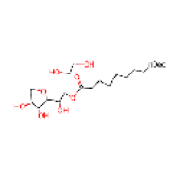 CCCCCCCCCCCCCCCCCC(=O)OC[C@@H](O)[C@H]1OC[C@H](O)[C@H]1O.OCCO